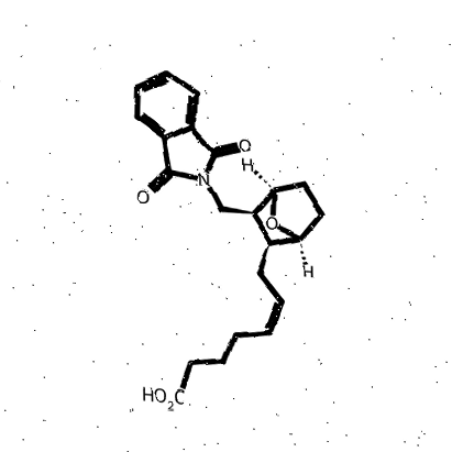 O=C(O)CCC/C=C\C[C@H]1[C@@H](CN2C(=O)c3ccccc3C2=O)[C@H]2CC[C@@H]1O2